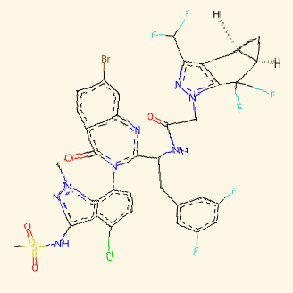 Cn1nc(NS(C)(=O)=O)c2c(Cl)ccc(-n3c(C(Cc4cc(F)cc(F)c4)NC(=O)Cn4nc(C(F)F)c5c4C(F)(F)[C@@H]4C[C@H]54)nc4cc(Br)ccc4c3=O)c21